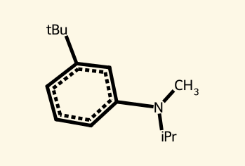 CC(C)N(C)c1cccc(C(C)(C)C)c1